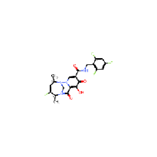 C[C@@H]1C=C(F)[C@H](C)N2CN1n1cc(C(=O)NCc3c(F)cc(F)cc3F)c(=O)c(O)c1C2=O